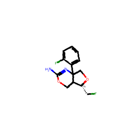 NC1=NC2(c3ccccc3F)CO[C@H](CF)C2CO1